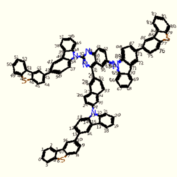 c1ccc2c(c1)sc1ccc(-c3ccc4c(c3)c3ccccc3n4-c3ccc4cc(-c5nc(-n6c7ccccc7c7cc(-c8ccc9sc%10ccccc%10c9c8)ccc76)nc6ccc(-n7c8ccccc8c8cc(-c9ccc%10sc%11ccccc%11c%10c9)ccc87)cc56)ccc4c3)cc12